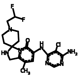 Cc1cc(Nc2ncnc(N)c2Cl)c(=O)n2c1CNC21CCN(CC(F)F)CC1